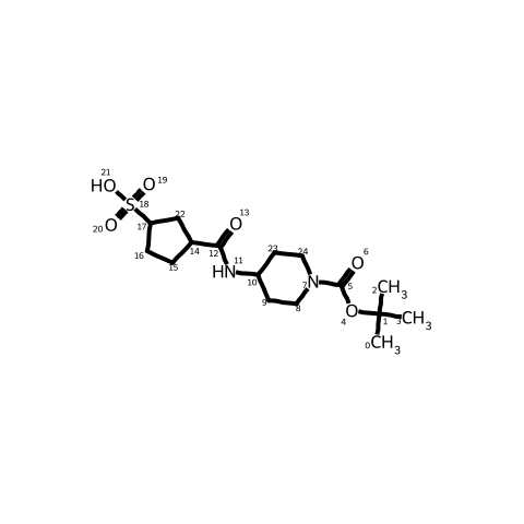 CC(C)(C)OC(=O)N1CCC(NC(=O)C2CCC(S(=O)(=O)O)C2)CC1